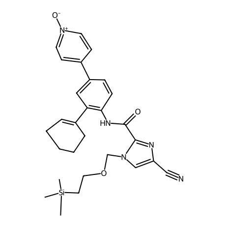 C[Si](C)(C)CCOCn1cc(C#N)nc1C(=O)Nc1ccc(-c2cc[n+]([O-])cc2)cc1C1=CCCCC1